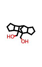 OCC12CC(C3CCCC31)C1C3CCCC3C12CO